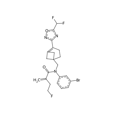 C=C(CCF)C(=O)N(CC12CCC(c3noc(C(F)F)n3)=C(C1)C2)c1cccc(Br)c1